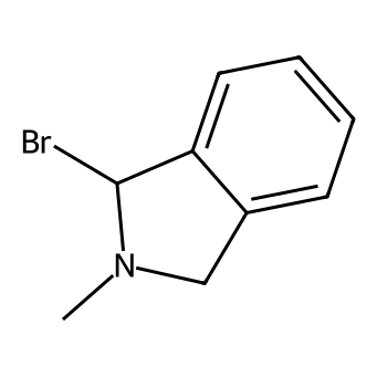 CN1Cc2ccccc2C1Br